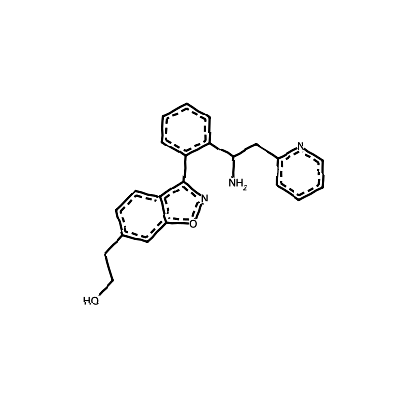 NC(Cc1ccccn1)c1ccccc1-c1noc2cc(CCO)ccc12